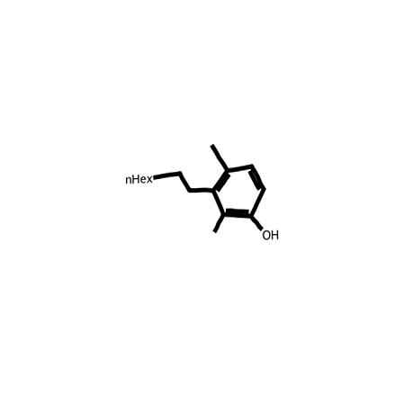 CCCCCCCCc1c(C)ccc(O)c1C